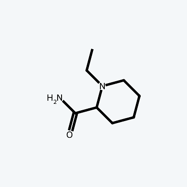 CCN1CCCCC1C(N)=O